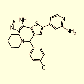 Nc1cc(-c2cc(C(c3ccc(Cl)cc3)N3CCCCC3)c(-c3nnc[nH]3)s2)ccn1